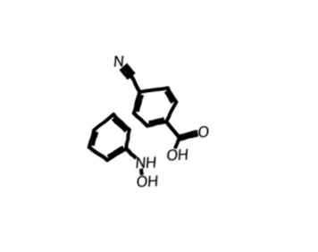 N#Cc1ccc(C(=O)O)cc1.ONc1ccccc1